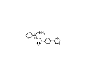 NC[C@@H](NCC(N)c1ccc(-c2cncnc2)cc1)c1ccccc1